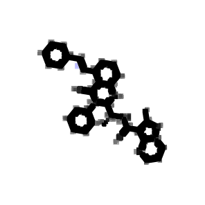 Cc1nn2cccnc2c1C(=O)N[C@H](C)c1nc2cccc(/C=C/c3ccccc3)c2c(=O)n1-c1ccccc1